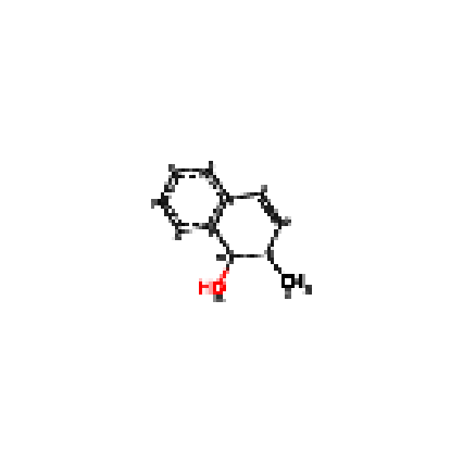 CC1C=Cc2ccccc2C1O